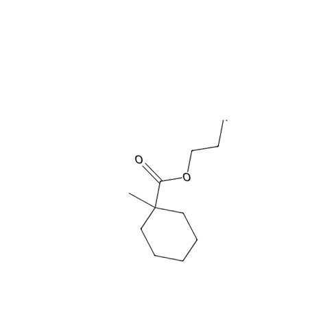 [CH2]CCOC(=O)C1(C)CCCCC1